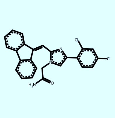 NC(=O)Cn1cc(-c2ccc(Cl)cc2Cl)nc1C=C1c2ccccc2-c2ccccc21